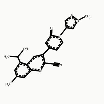 Cc1cc(C(C)O)c2cc(-c3ccn(-c4cnn(C)c4)c(=O)c3)c(C#N)nc2c1